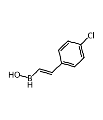 OB/C=C/c1ccc(Cl)cc1